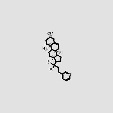 CCC(O)(CCc1cccnc1)C1CCC2[C@@H]3CC=C4C[C@@H](O)CC[C@]4(C)C3CC[C@@]21C